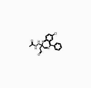 CC(=O)NNC1(C[C]=O)C=NC(c2ccccc2)=c2cc(Cl)ccc2=N1